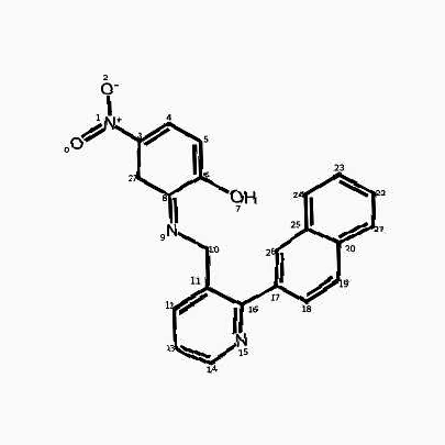 O=[N+]([O-])C1=CC=C(O)C(=NCc2cccnc2-c2ccc3ccccc3c2)C1